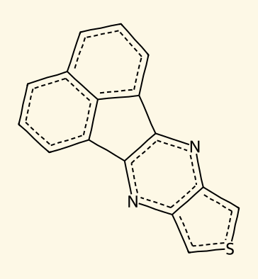 c1cc2c3c(cccc3c1)-c1nc3cscc3nc1-2